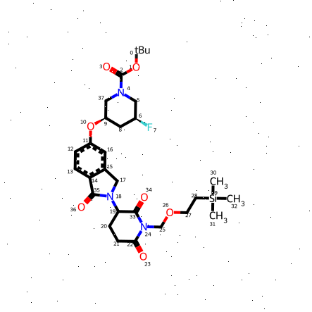 CC(C)(C)OC(=O)N1C[C@@H](F)C[C@@H](Oc2ccc3c(c2)CN(C2CCC(=O)N(COCC[Si](C)(C)C)C2=O)C3=O)C1